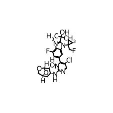 CC(C)(O)c1nc2c(F)cc(-c3nc(N[C@@H]4C[C@H]5CO[C@H](O5)[C@H]4O)ncc3Cl)cc2n1C1(CF)CC1